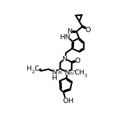 C=CCN[C@H]1CN(Cc2cccc3c(C(=O)C4CC4)n[nH]c23)C(=O)[C@H](C)N1c1ccc(O)cc1